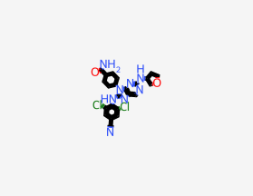 N#Cc1cc(Cl)c(Nc2nc3cnc(NC4CCOC4)nc3n2C2CCC(C(N)=O)CC2)c(Cl)c1